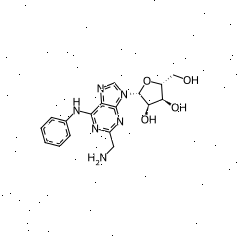 NCc1nc(Nc2ccccc2)c2ncn([C@@H]3O[C@H](CO)[C@@H](O)[C@H]3O)c2n1